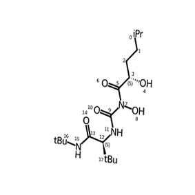 CC(C)CC[C@H](O)C(=O)N(O)C(=O)N[C@H](C(=O)NC(C)(C)C)C(C)(C)C